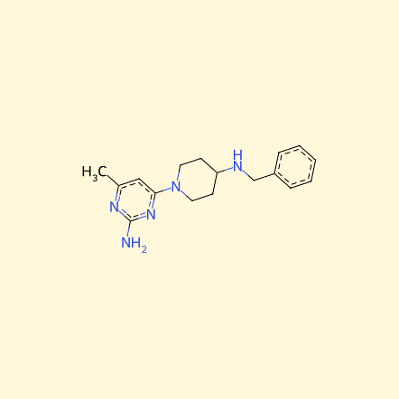 Cc1cc(N2CCC(NCc3ccccc3)CC2)nc(N)n1